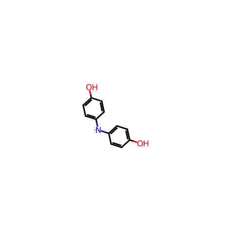 Oc1ccc([N]c2ccc(O)cc2)cc1